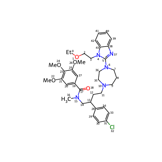 CCOCCn1c(N2CCCN(CCC(CN(C)C(=O)c3cc(OC)c(OC)c(OC)c3)c3ccc(Cl)cc3)CC2)nc2ccccc21